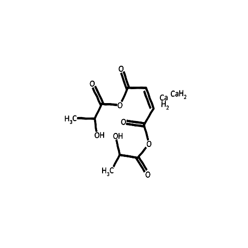 CC(O)C(=O)OC(=O)/C=C\C(=O)OC(=O)C(C)O.[CaH2].[CaH2]